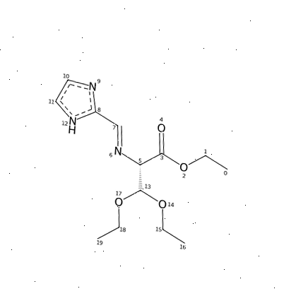 CCOC(=O)[C@@H](N=Cc1ncc[nH]1)C(OCC)OCC